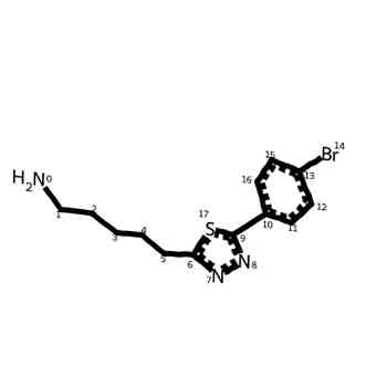 NCCCCCc1nnc(-c2ccc(Br)cc2)s1